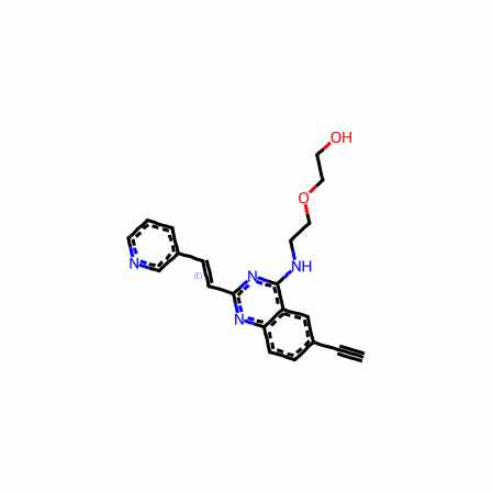 C#Cc1ccc2nc(/C=C/c3cccnc3)nc(NCCOCCO)c2c1